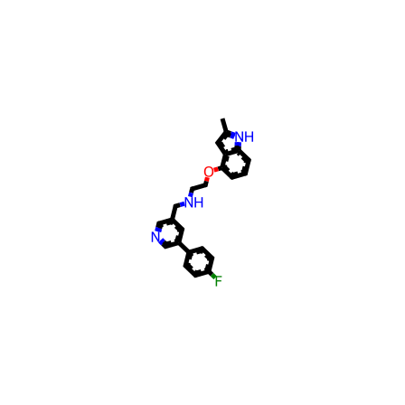 Cc1cc2c(OCCNCc3cncc(-c4ccc(F)cc4)c3)cccc2[nH]1